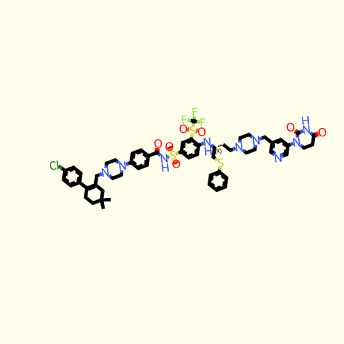 CC1(C)CCC(c2ccc(Cl)cc2)=C(CN2CCN(c3ccc(C(=O)NS(=O)(=O)c4ccc(N[C@H](CCN5CCN(Cc6cncc(N7CCC(=O)NC7=O)c6)CC5)CSc5ccccc5)c(S(=O)(=O)C(F)(F)F)c4)cc3)CC2)C1